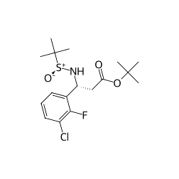 CC(C)(C)OC(=O)C[C@@H](N[S@@+]([O-])C(C)(C)C)c1cccc(Cl)c1F